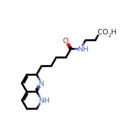 O=C(O)CCNC(=O)CCCCC1C=CC2=CCCNC2=N1